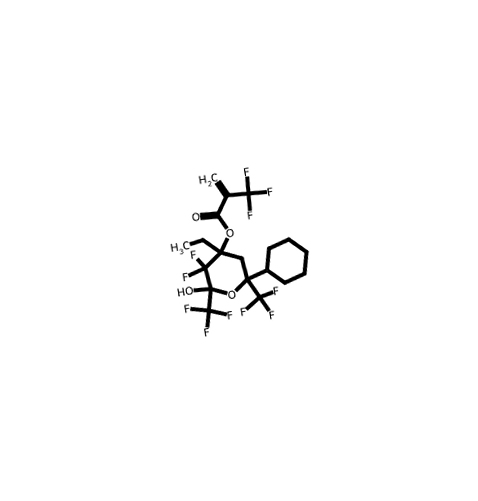 C=C(C(=O)OC1(CC)CC(C2CCCCC2)(C(F)(F)F)OC(O)(C(F)(F)F)C1(F)F)C(F)(F)F